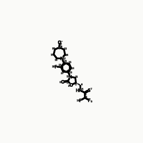 O=C1O[C@@H](CNC(=S)C(F)F)CN1c1ccc(N2CCC[S+]([O-])CC2)c(F)c1